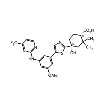 COc1cc(Nc2nccc(C(F)(F)F)n2)cc(-c2cnc([C@@]3(O)CC[C@H](C(=O)O)C(C)(C)C3)s2)c1